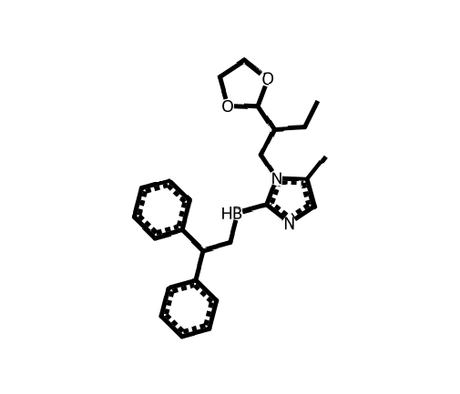 CCC(Cn1c(C)cnc1BCC(c1ccccc1)c1ccccc1)C1OCCO1